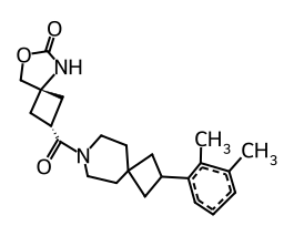 Cc1cccc(C2CC3(CCN(C(=O)[C@H]4C[C@]5(COC(=O)N5)C4)CC3)C2)c1C